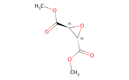 COC(=O)[C@H]1O[C@@H]1C(=O)OC